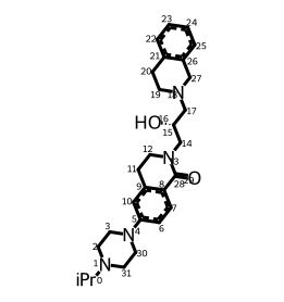 CC(C)N1CCN(c2ccc3c(c2)CCN(C[C@H](O)CN2CCc4ccccc4C2)C3=O)CC1